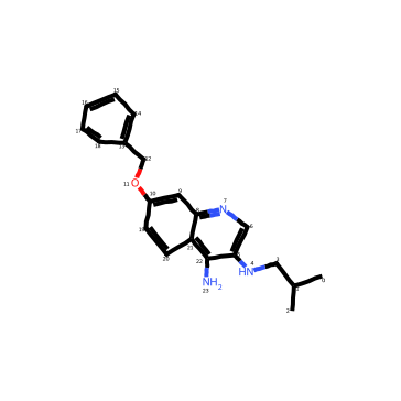 CC(C)CNc1cnc2cc(OCc3ccccc3)ccc2c1N